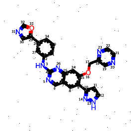 c1cc(Nc2ncc3cc(-c4cc[nH]n4)c(OCc4cnccn4)cc3n2)cc(-c2cnco2)c1